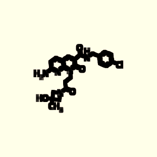 CC1(O)CN(C(=O)CCn2c(=O)c(C(=O)NCc3ccc(Cl)cc3)cc3ccc(N)nc32)C1